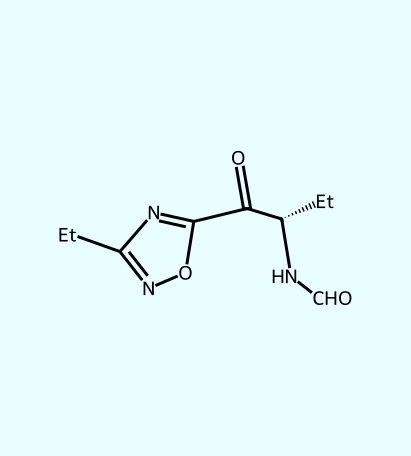 CCc1noc(C(=O)[C@H](CC)NC=O)n1